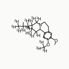 [2H]C([2H])([2H])Oc1cc2c(cc1OC)CCN1C2C([2H])([2H])C([2H])(O)C([2H])(C([2H])([2H])C([2H])(C)C([2H])([2H])[2H])C1([2H])[2H]